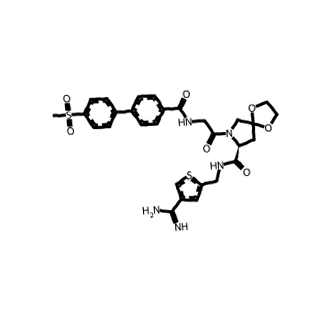 CS(=O)(=O)c1ccc(-c2ccc(C(=O)NCC(=O)N3CC4(C[C@H]3C(=O)NCc3cc(C(=N)N)cs3)OCCO4)cc2)cc1